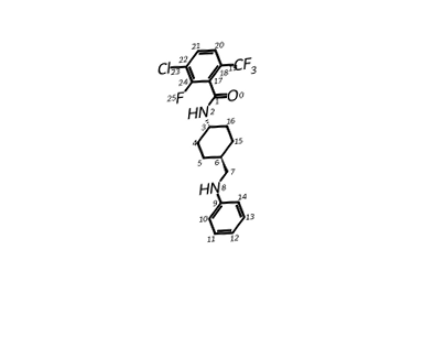 O=C(N[C@H]1CC[C@H](CNc2ccccc2)CC1)c1c(C(F)(F)F)ccc(Cl)c1F